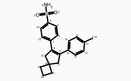 NS(=O)(=O)c1ccc(C2=C(c3ccc(I)cc3)CC3(CCC3)C2)cc1